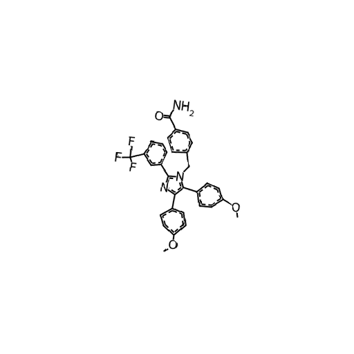 COc1ccc(-c2nc(-c3cccc(C(F)(F)F)c3)n(Cc3ccc(C(N)=O)cc3)c2-c2ccc(OC)cc2)cc1